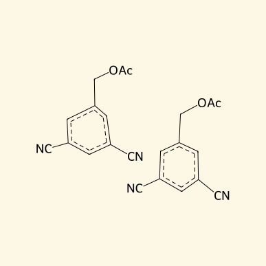 CC(=O)OCc1cc(C#N)cc(C#N)c1.CC(=O)OCc1cc(C#N)cc(C#N)c1